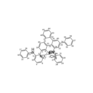 C[Si](C)(C)c1c(-c2ccccc2Nc2ccccc2)cccc1-c1c(Nc2ccccc2)cc(-c2ccccc2)cc1-c1ccccc1